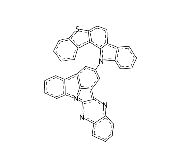 c1ccc2nc3c(nc2c1)c1cc(-n2c4ccccc4c4ccc5sc6ccccc6c5c42)cc2c4ccccc4n3c21